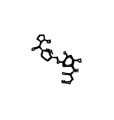 COCC(=O)Nc1cc(OC[C@H]2CC[C@@H](C(=O)N3CCC[C@H]3C#N)N2)c(Cl)cc1Cl